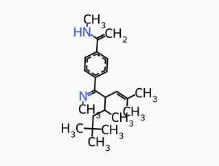 C=C(NC)c1ccc(/C(=N/C)C(C=C(C)C)C(C)CC(C)(C)C)cc1